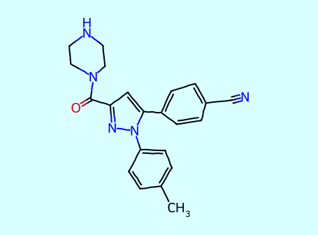 Cc1ccc(-n2nc(C(=O)N3CCNCC3)cc2-c2ccc(C#N)cc2)cc1